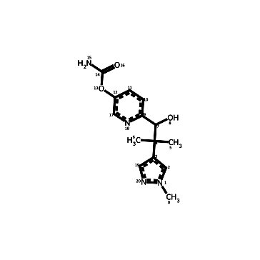 Cn1cc(C(C)(C)C(O)c2ccc(OC(N)=O)cn2)cn1